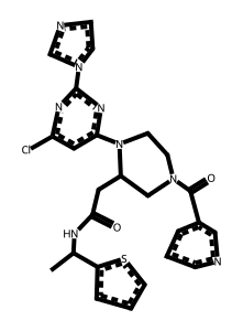 CC(NC(=O)CC1CN(C(=O)c2cccnc2)CCN1c1cc(Cl)nc(-n2ccnc2)n1)c1cccs1